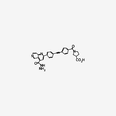 NNC(=O)c1cc(-c2ccc(C#Cc3ccc(C(=O)N4CCC(C(=O)O)C4)cc3)cc2)nc2ccncc12